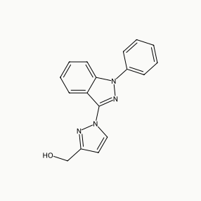 OCc1ccn(-c2nn(-c3ccccc3)c3ccccc23)n1